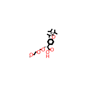 COCCOCOC[C@@H](C(=O)O)c1ccc(O[Si](C(C)C)(C(C)C)C(C)C)cc1